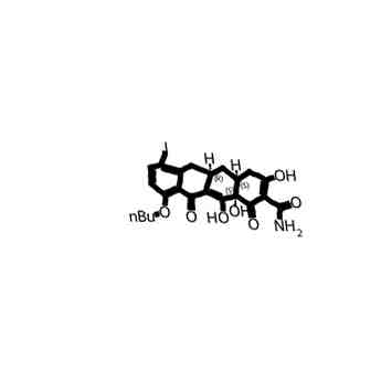 CCCCOc1ccc(I)c2c1C(=O)C1=C(O)[C@]3(O)C(=O)C(C(N)=O)=C(O)C[C@@H]3C[C@@H]1C2